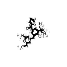 CCCCN(CC(N)=O)Cc1cc(C(=O)c2cccs2)cc(C(C)(C)C)c1O